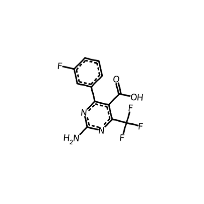 Nc1nc(-c2cccc(F)c2)c(C(=O)O)c(C(F)(F)F)n1